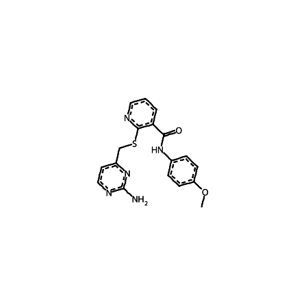 COc1ccc(NC(=O)c2cccnc2SCc2ccnc(N)n2)cc1